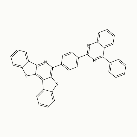 c1ccc(-c2nc(-c3ccc(-c4nc5c6ccccc6sc5c5c4sc4ccccc45)cc3)nc3ccccc23)cc1